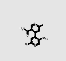 COc1cnc(Br)cc1-c1cc(C)ncc1C(N)=O